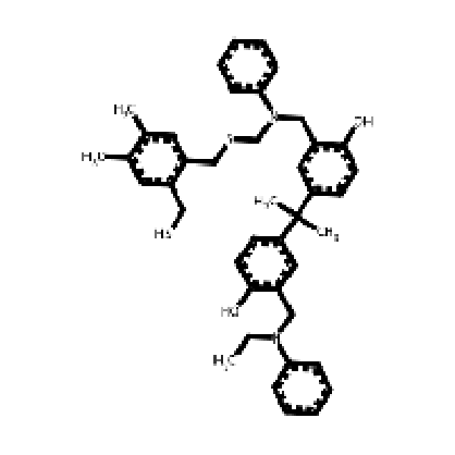 CCN(Cc1cc(C(C)(C)c2ccc(O)c(CN(CSCc3cc(C)c(C)cc3CS)c3ccccc3)c2)ccc1O)c1ccccc1